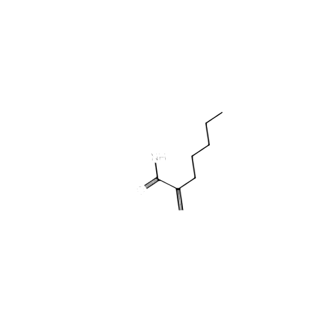 C=C(CCCCC)C([NH])=O